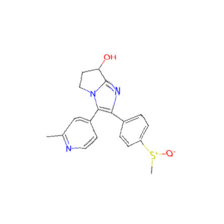 Cc1cc(-c2c(-c3ccc([S+](C)[O-])cc3)nc3n2CCC3O)ccn1